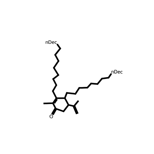 C=C(C)C1CC(=O)C(C)=C(CCCCCCCCCCCCCCCCCC)C1CCCCCCCCCCCCCCCCCC